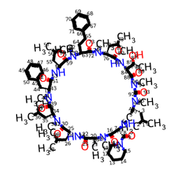 CC(C)C[C@@H]1CN[C@H](C(=O)N2CCCCC2)C(=O)N(C)[C@@H](C)C(=O)N[C@@H](CC(C)C)C(=O)N(C)[C@@H](CC(C)C)C(=O)N(C)[C@@H](Cc2ccccc2)C(=O)N[C@@H](CC(C)C)C(=O)N(C)C(CCc2ccccc2)C(=O)N(C)[C@@H](CC(C)C)C(=O)N[C@@H]([C@@H](C)O)C(=O)N(C)C(=O)N1C